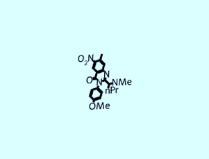 CCCC(NC)c1nc2cc(C)c([N+](=O)[O-])cc2c(=O)n1-c1ccc(OC)cc1